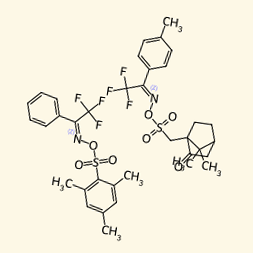 Cc1cc(C)c(S(=O)(=O)O/N=C(/c2ccccc2)C(F)(F)F)c(C)c1.Cc1ccc(/C(=N/OS(=O)(=O)CC23CCC(CC2=O)C3(C)C)C(F)(F)F)cc1